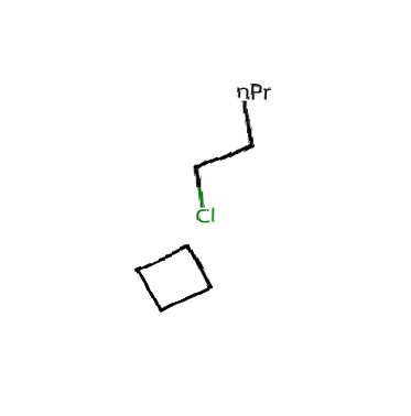 C1CCC1.CCCCCCl